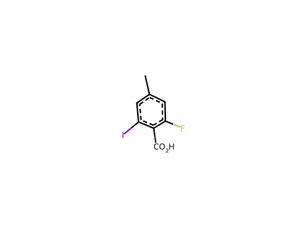 Cc1cc(F)c(C(=O)O)c(I)c1